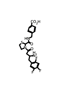 NC(CC(=O)N1CCSC1C(=O)NCc1ccc(C(=O)O)cc1)Cc1cc(F)c(F)cc1F